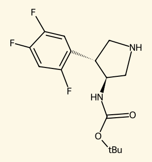 CC(C)(C)OC(=O)N[C@@H]1CNC[C@H]1c1cc(F)c(F)cc1F